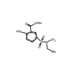 CCC(C)CN(C)S(=O)(=O)c1ccc(O)c(C(=O)OC)c1